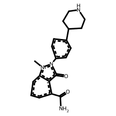 Cn1c2cccc(C(N)=O)c2c(=O)n1-c1ccc(C2CCNCC2)cc1